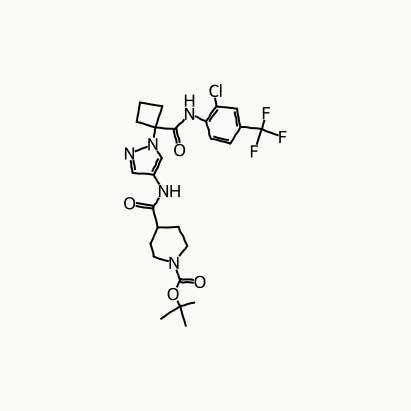 CC(C)(C)OC(=O)N1CCC(C(=O)Nc2cnn(C3(C(=O)Nc4ccc(C(F)(F)F)cc4Cl)CCC3)c2)CC1